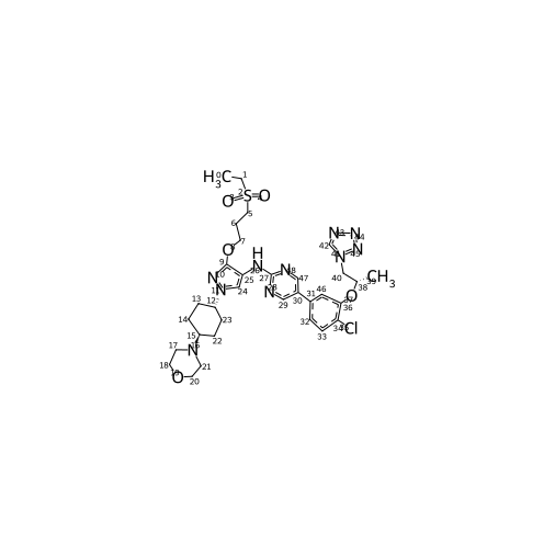 CCS(=O)(=O)CCCOc1nn([C@H]2CC[C@H](N3CCOCC3)CC2)cc1Nc1ncc(-c2ccc(Cl)c(O[C@@H](C)Cn3cnnn3)c2)cn1